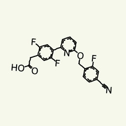 N#Cc1ccc(COc2cccc(-c3cc(F)c(CC(=O)O)cc3F)n2)c(F)c1